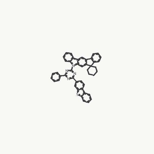 c1ccc(-c2nc(-c3ccc4c(c3)sc3ccccc34)nc(-n3c4ccccc4c4cc5c(cc43)C3(CCCCC3)c3ccccc3-5)n2)cc1